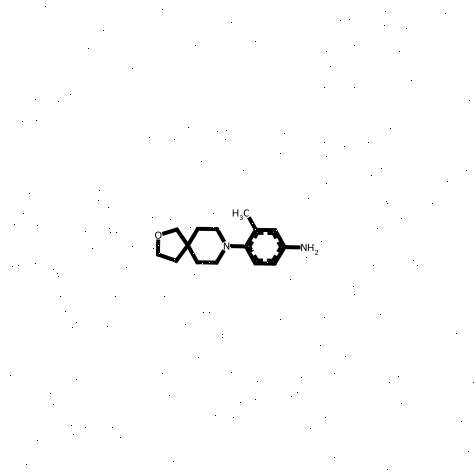 Cc1cc(N)ccc1N1CCC2(CCOC2)CC1